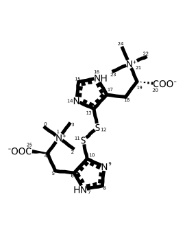 C[N+](C)(C)[C@@H](Cc1[nH]cnc1SSc1nc[nH]c1C[C@@H](C(=O)[O-])[N+](C)(C)C)C(=O)[O-]